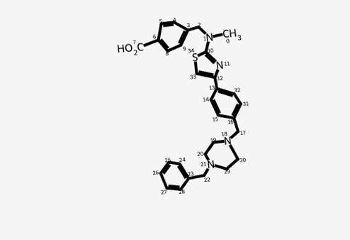 CN(Cc1ccc(C(=O)O)cc1)c1nc(-c2ccc(CN3CCN(Cc4ccccc4)CC3)cc2)cs1